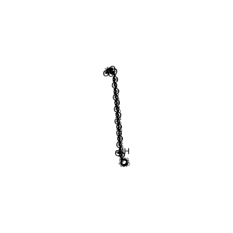 O=C(CCOCCOCCOCCOCCOCCOCCOCCOCCOCCOCCOCCOCCNC(=O)OCC1C2CCC#CCCC21)ON1C(=O)CCC1=O